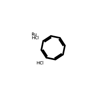 C1=C\C=C/C=C\C=C/1.Cl.Cl.[Ru]